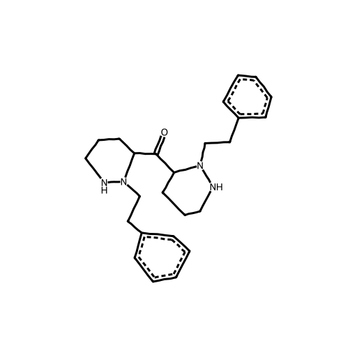 O=C(C1CCCNN1CCc1ccccc1)C1CCCNN1CCc1ccccc1